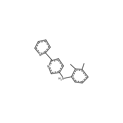 Cc1cccc([SiH2]c2ccc(-c3ccccn3)nc2)c1C